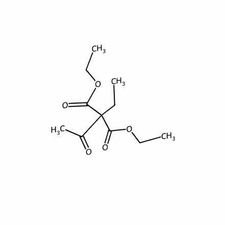 CCOC(=O)C(CC)(C(C)=O)C(=O)OCC